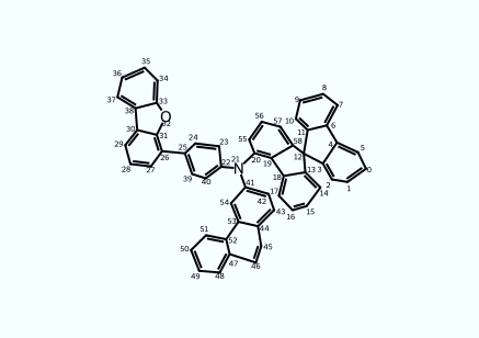 c1ccc2c(c1)-c1ccccc1C21c2ccccc2-c2c(N(c3ccc(-c4cccc5c4oc4ccccc45)cc3)c3ccc4ccc5ccccc5c4c3)cccc21